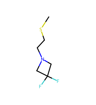 CSCCN1CC(F)(F)C1